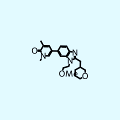 COCCn1c(CC2CCCOC2)nc2ccc(-c3cc(C)c(=O)n(C)c3)cc21